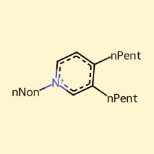 CCCCCCCCC[n+]1ccc(CCCCC)c(CCCCC)c1